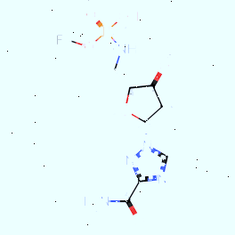 CCOP(=O)(O)NC[C@H]1O[C@@H](n2cnc(C(N)=O)n2)CC1=O